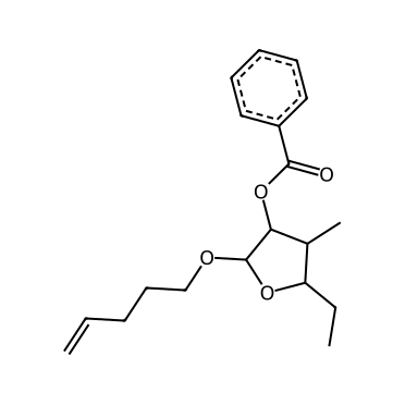 C=CCCCOC1OC(CC)C(C)C1OC(=O)c1ccccc1